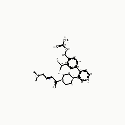 CN(C)C/C=C/C(=O)N1CCN(c2cnccc2-c2ccc(COC(N)=O)c(C(F)F)c2)CC1